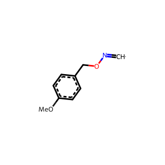 [CH]=NOCc1ccc(OC)cc1